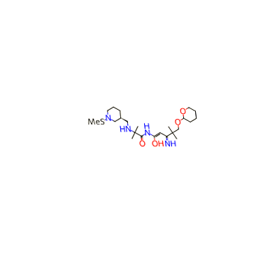 CSN1CCC[C@@H](CNC(C)(C)C(=O)N/C(O)=C/C(=N)C(C)(C)COC2CCCCO2)C1